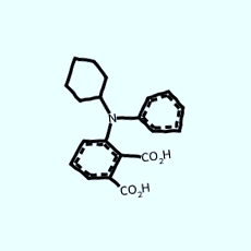 O=C(O)c1cccc(N(c2ccccc2)C2CCCCC2)c1C(=O)O